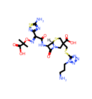 CC(C)(ON=C(C(=O)NC1C(=O)N2CC(CSc3nnnn3CCCN)(C(=O)O)CS[C@H]12)c1nsc(N)n1)C(=O)O